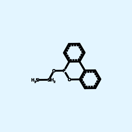 [SiH3][SiH2]OP1Oc2ccccc2-c2ccccc21